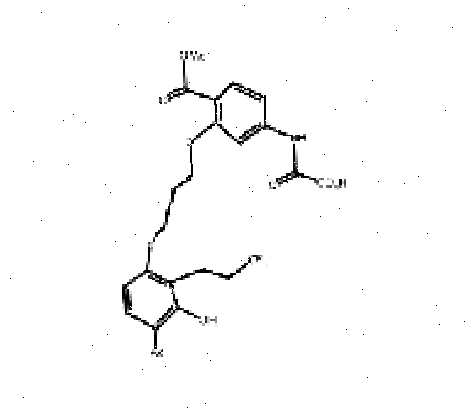 COC(=O)c1ccc(NC(=O)C(=O)O)cc1OCCCOc1ccc(C(C)=O)c(O)c1CCC(F)(F)F